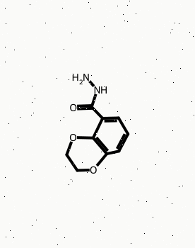 NNC(=O)c1cccc2c1OCCO2